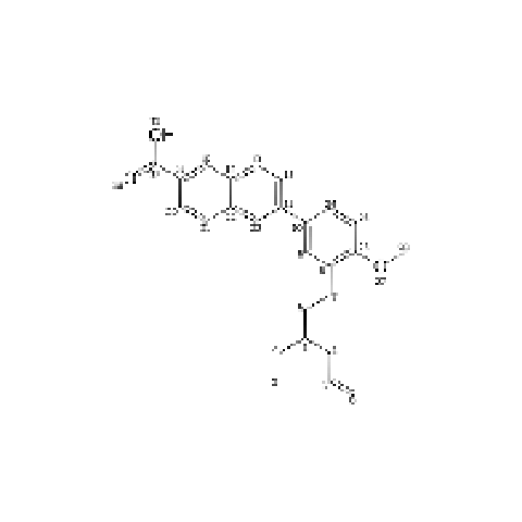 C=CCC(CC)CCc1cc(-c2ccc3cc(C(=O)O)ccc3c2)ccc1OC